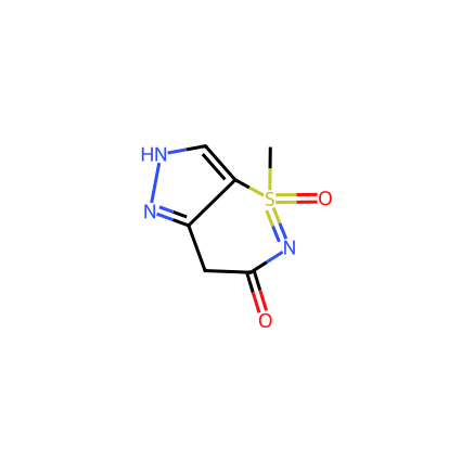 CS1(=O)=NC(=O)Cc2n[nH]cc21